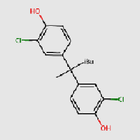 CCC(C)C(C)(c1ccc(O)c(Cl)c1)c1ccc(O)c(Cl)c1